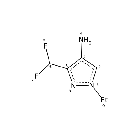 CCn1cc(N)c(C(F)F)n1